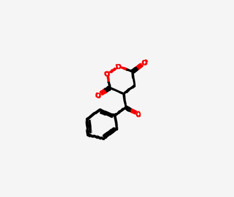 O=C1CC(C(=O)c2ccccc2)C(=O)OO1